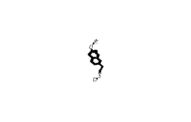 CC(C)Oc1ccc2cc(CCSCl)ccc2c1